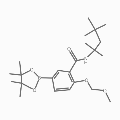 COCOc1ccc(B2OC(C)(C)C(C)(C)O2)cc1C(=O)NC(C)(C)CC(C)(C)C